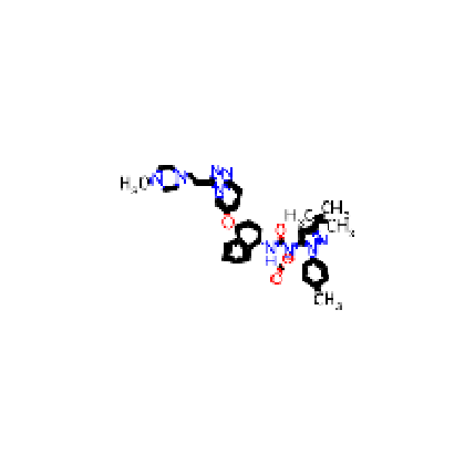 Cc1ccc(-n2nc(C(C)(C)C)cc2N(OC=O)C(=O)N[C@H]2CC[C@@H](Oc3ccc4nnc(CCN5CCN(C)CC5)n4c3)c3ccccc32)cc1